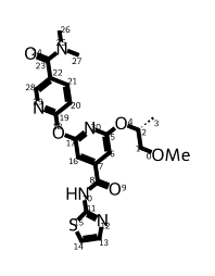 COC[C@@H](C)Oc1cc(C(=O)Nc2nccs2)cc(Oc2ccc(C(=O)N(C)C)cn2)n1